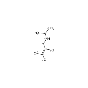 CC(C)NCC(Cl)=C(Cl)Cl